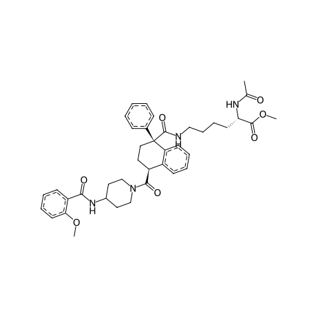 COC(=O)[C@H](CCCCNC(=O)[C@@]1(c2ccccc2)CC[C@H](C(=O)N2CCC(NC(=O)c3ccccc3OC)CC2)c2ccccc21)NC(C)=O